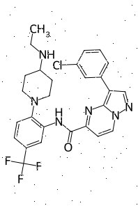 CCNC1CCN(c2ccc(C(F)(F)F)cc2NC(=O)c2ccn3ncc(-c4cccc(Cl)c4)c3n2)CC1